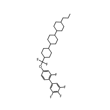 CCCC1CCC(C2CCC(C3CCC(C(F)(F)Oc4ccc(-c5cc(F)c(F)c(F)c5)c(F)c4)CC3)CC2)CC1